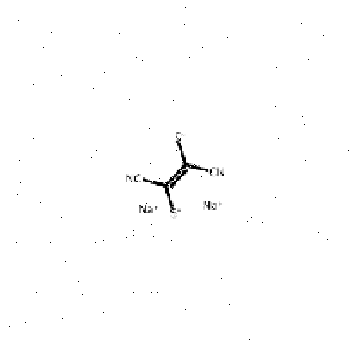 N#C/C([S-])=C(\[S-])C#N.[Na+].[Na+]